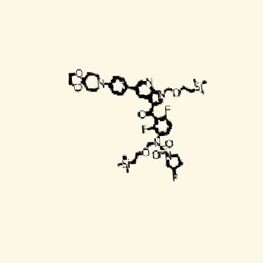 C[Si](C)(C)CCOCN(c1ccc(F)c(C(=O)c2cn(COCC[Si](C)(C)C)c3ncc(-c4ccc(N5CCC6(CC5)OCCO6)cc4)cc23)c1F)S(=O)(=O)N1CCC(F)C1